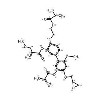 C=C(C)C(=O)OCCOc1ccc(-c2cc(OC(=O)C(=C)C)c(OCC3CO3)cc2CC)cc1OC(=O)C(=C)COC